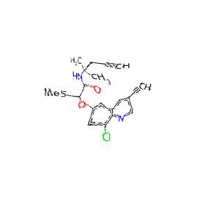 C#CCC(C)(C)NC(=O)C(Oc1cc(Cl)c2ncc(C#C)cc2c1)SC